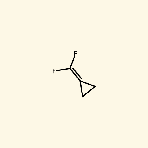 FC(F)=C1CC1